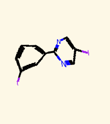 Ic1cnc(-c2cccc(I)c2)nc1